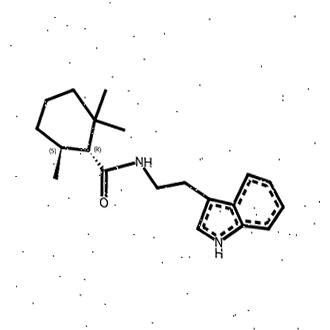 C[C@H]1CCCC(C)(C)[C@@H]1C(=O)NCCc1c[nH]c2ccccc12